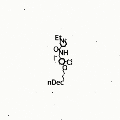 CCCCCCCCCCCCCCOc1ccc(CNC(=O)c2ccc[n+](CC)c2)cc1Cl.[I-]